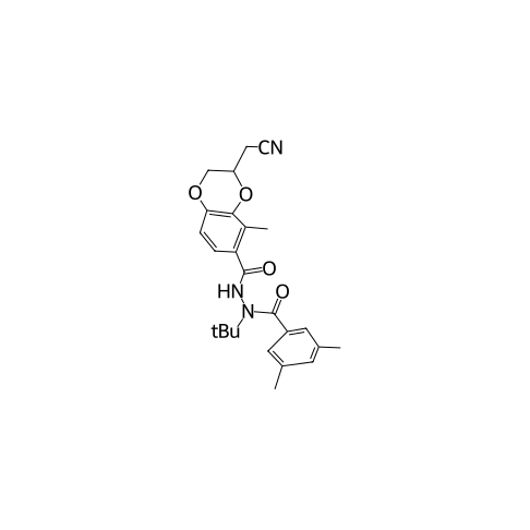 Cc1cc(C)cc(C(=O)N(NC(=O)c2ccc3c(c2C)OC(CC#N)CO3)C(C)(C)C)c1